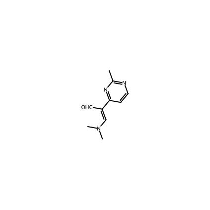 Cc1nccc(C(C=O)=CN(C)C)n1